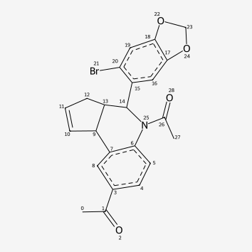 CC(=O)c1ccc2c(c1)C1C=CCC1C(c1cc3c(cc1Br)OCO3)N2C(C)=O